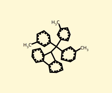 Cc1cccc(C(c2cccc(C)c2)(c2cccc(C)c2)C2c3ccccc3-c3ccccc32)c1